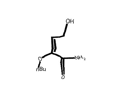 CCCCOC(=CCO)C(N)=O